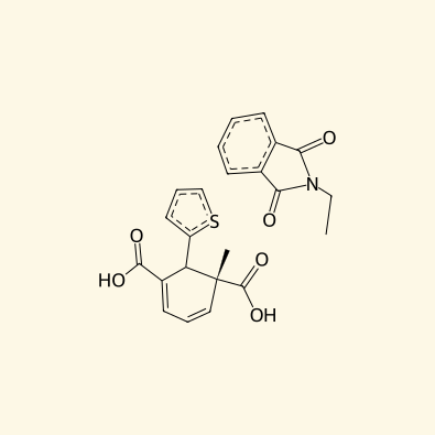 CCN1C(=O)c2ccccc2C1=O.C[C@@]1(C(=O)O)C=CC=C(C(=O)O)C1c1cccs1